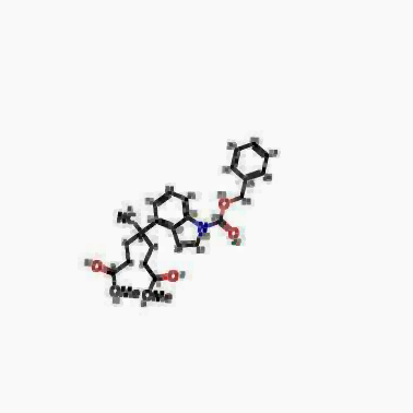 COC(=O)CCC(C#N)(CCC(=O)OC)c1cccc2c1ccn2C(=O)OCc1ccccc1